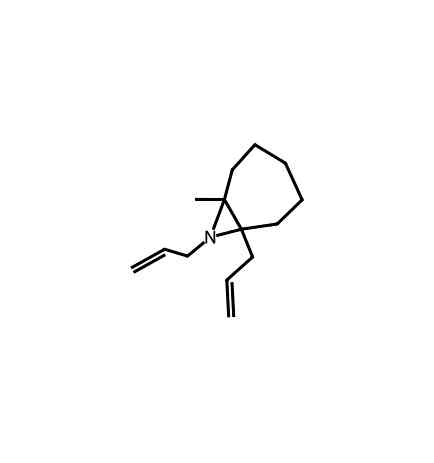 C=CCN1C2(C)CCCCCC12CC=C